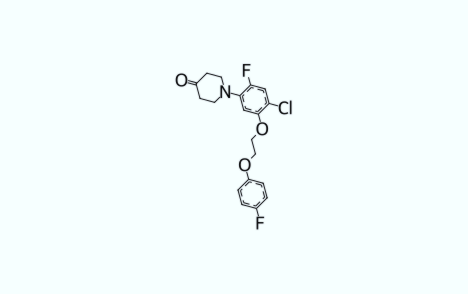 O=C1CCN(c2cc(OCCOc3ccc(F)cc3)c(Cl)cc2F)CC1